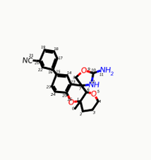 CC12CCCOC1C1(COC(N)N1)c1cc(-c3cccc(C#N)c3)ccc1O2